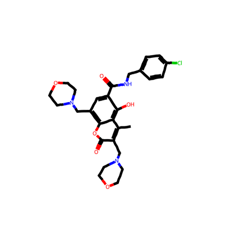 Cc1c(CN2CCOCC2)c(=O)oc2c(CN3CCOCC3)cc(C(=O)NCc3ccc(Cl)cc3)c(O)c12